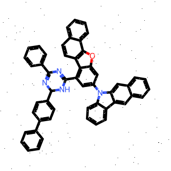 c1ccc(C2=NC(c3ccc(-c4ccccc4)cc3)NC(c3cc(-n4c5ccccc5c5cc6ccccc6cc54)cc4oc5c6ccccc6ccc5c34)=N2)cc1